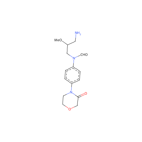 COC(CN)CN(C=O)c1ccc(N2CCOCC2=O)cc1